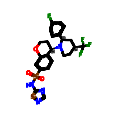 O=S(=O)(Nc1ncns1)c1ccc2c(c1)OCC[C@@H]2N1CC[C@H](C(F)(F)F)C[C@@H]1c1ccc(F)cc1